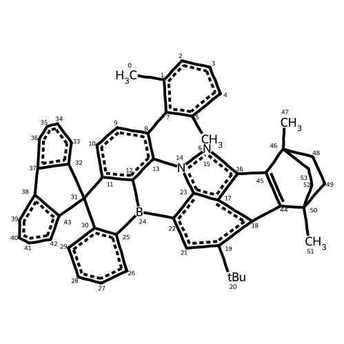 Cc1cccc(C)c1-c1ccc2c3c1-n1nc4c5c(c(C(C)(C)C)cc(c51)B3c1ccccc1C21c2ccccc2-c2ccccc21)C1=C4C2(C)CCC1(C)CC2